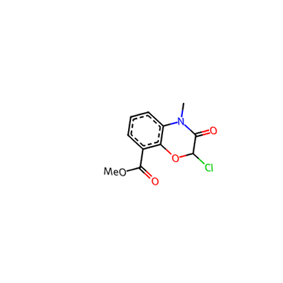 COC(=O)c1cccc2c1OC(Cl)C(=O)N2C